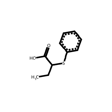 CCC(Sc1ccccc1)C(=O)O